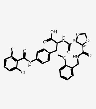 COc1ccccc1CNC(=O)[C@@H]1OCO[C@H]1C(=O)NC(Cc1ccc(NC(=O)c2c(Cl)cccc2Cl)cc1)C(=O)O